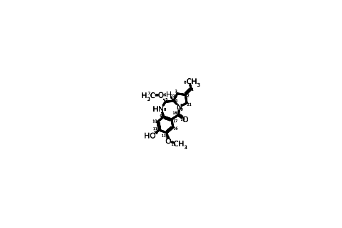 C/C=C1\C[C@H]2[C@@H](OC)Nc3cc(O)c(OC)cc3C(=O)N2C1